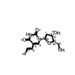 O=c1[nH]c(=O)n([C@H]2C[C@H](O)[C@@H](CO)O2)cc1C=CF